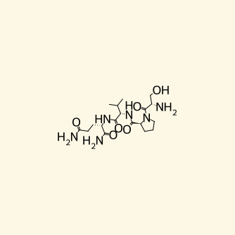 CC(C)[C@H](NC(=O)[C@@H]1CCCN1C(=O)[C@@H](N)CO)C(=O)N[C@@H](CCC(N)=O)C(N)=O